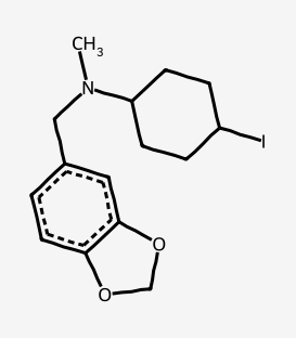 CN(Cc1ccc2c(c1)OCO2)C1CCC(I)CC1